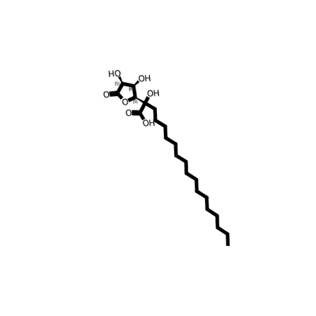 CCCCCCCCCCCCCCCCC(O)(C(=O)O)[C@H]1OC(=O)[C@@H](O)[C@H]1O